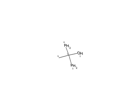 CC(O)(P)P